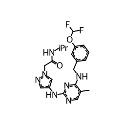 Cc1cnc(Nc2cnn(CC(=O)NC(C)C)c2)nc1NCc1cccc(OC(F)F)c1